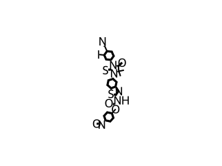 CC1(C)C(=O)N(c2ccc(C#N)c(I)c2)C(=S)N1c1ccc2sc(NC(=O)Oc3ccc(N=O)cc3)nc2c1